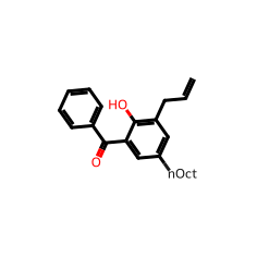 C=CCc1cc(CCCCCCCC)cc(C(=O)c2ccccc2)c1O